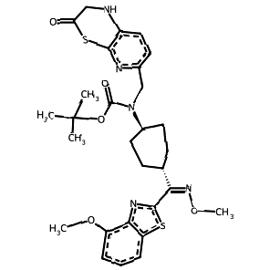 CON=C(c1nc2c(OC)cccc2s1)[C@H]1CC[C@H](N(Cc2ccc3c(n2)SC(=O)CN3)C(=O)OC(C)(C)C)CC1